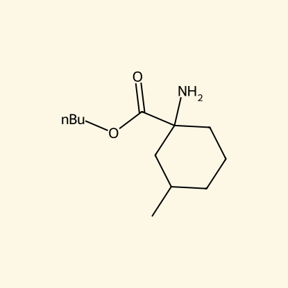 CCCCOC(=O)C1(N)CCCC(C)C1